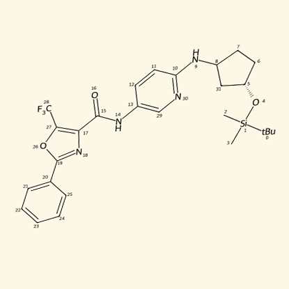 CC(C)(C)[Si](C)(C)O[C@H]1CCC(Nc2ccc(NC(=O)c3nc(-c4ccccc4)oc3C(F)(F)F)cn2)C1